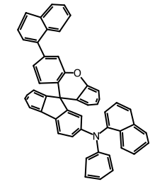 c1ccc(N(c2ccc3c(c2)C2(c4ccccc4Oc4cc(-c5cccc6ccccc56)ccc42)c2ccccc2-3)c2cccc3ccccc23)cc1